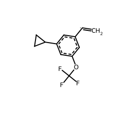 C=[C]c1cc(OC(F)(F)F)cc(C2CC2)c1